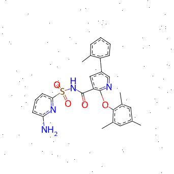 Cc1cc(C)c(Oc2ncc(-c3ccccc3C)cc2C(=O)NS(=O)(=O)c2cccc(N)n2)c(C)c1